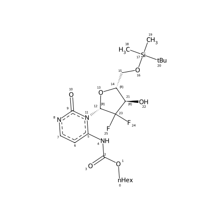 CCCCCCOC(=O)Nc1ccnc(=O)n1[C@@H]1O[C@H](CO[Si](C)(C)C(C)(C)C)[C@@H](O)C1(F)F